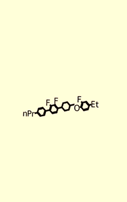 CCCc1ccc(-c2ccc(C3CCC(COc4ccc(CC)cc4F)CC3)c(F)c2F)cc1